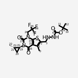 Cc1c(CNNC(=O)OC(C)(C)C)sc2c1c(=O)n([C@H]1C[C@@H]1C)c(=O)n2CC(F)(F)F